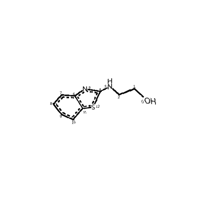 OCCNc1nc2ccccc2s1